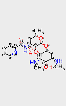 CN[C@H]1CC2OC3O[C@H](C)C[C@@H](NC(=O)c4ccccn4)[C@]3(O)OC2[C@@H](NC)[C@H]1O